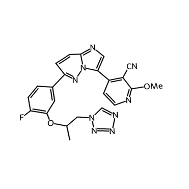 COc1nccc(-c2cnc3ccc(-c4ccc(F)c(OC(C)Cn5cnnn5)c4)nn23)c1C#N